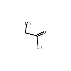 O=C(O)[CH2][Mo]